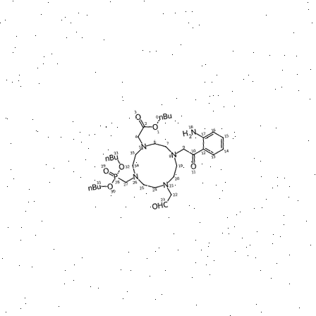 CCCCOC(=O)CN1CCN(CC(=O)c2ccccc2N)CCN(CC=O)CCN(CP(=O)(OCCCC)OCCCC)CC1